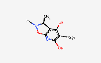 CCN1Oc2nc(O)c(C(=O)O)c(O)c2C1C